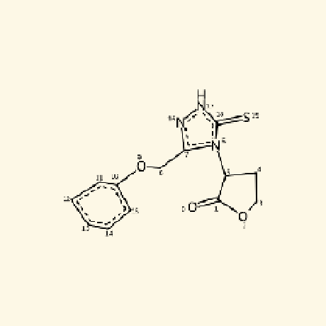 O=C1OCCC1n1c(COc2ccccc2)n[nH]c1=S